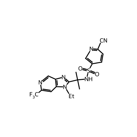 CCn1c(C(C)(C)NS(=O)(=O)c2ccc(C#N)nc2)nc2cnc(C(F)(F)F)cc21